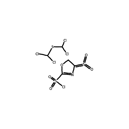 ClC(Cl)SC(Cl)Cl.O=S(=O)=C1COC(S(=O)(=O)Cl)=N1